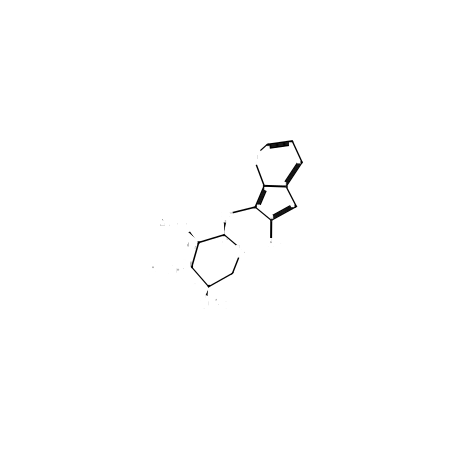 CC(=O)O[C@@H]1[C@@H](OC(C)=O)[C@@H](Oc2c(C(C)=O)cc3cccoc2-3)SC[C@H]1OC(C)=O